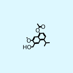 COc1cc2c(OC(C)=O)ccc(C(C)C)c2cc1CO